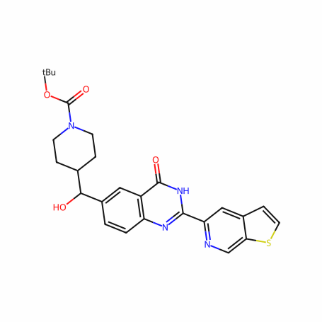 CC(C)(C)OC(=O)N1CCC(C(O)c2ccc3nc(-c4cc5ccsc5cn4)[nH]c(=O)c3c2)CC1